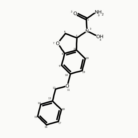 NC(=O)N(O)C1COc2cc(OCc3ccccc3)ccc21